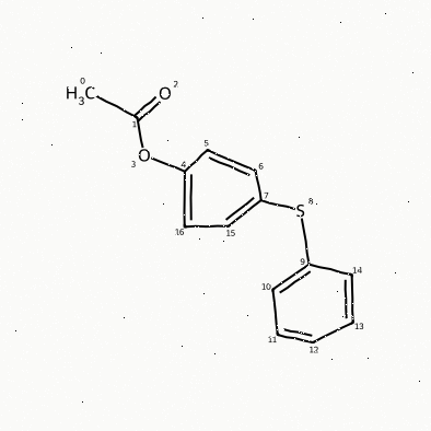 CC(=O)Oc1ccc(Sc2ccccc2)cc1